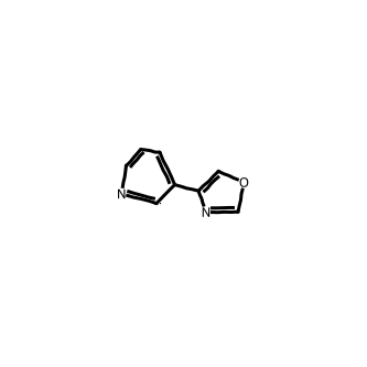 [c]1ncccc1-c1cocn1